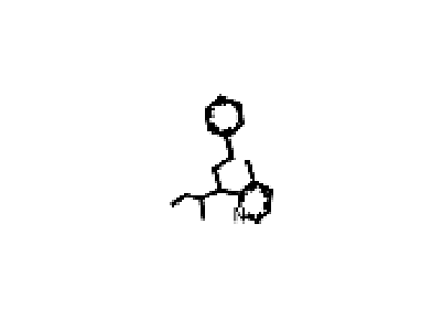 CCC(C)C(CCc1ccccc1)c1ncccc1C